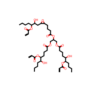 C=CC(=O)OC(CCCC)C(O)CCCC(=O)OCC(COC(=O)CCCC(OC(=O)C=C)C(O)CCCC)OC(=O)CCCC1OC1CC(O)C(CCCC)OC(=O)C=C